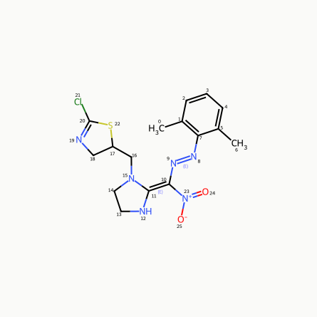 Cc1cccc(C)c1/N=N/C(=C1/NCCN1CC1CN=C(Cl)S1)[N+](=O)[O-]